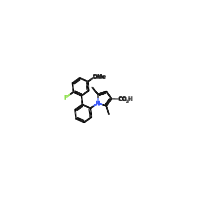 COc1ccc(F)c(-c2ccccc2-n2c(C)cc(C(=O)O)c2C)c1